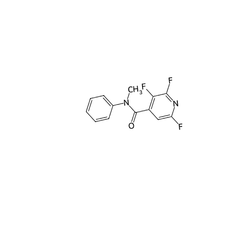 CN(C(=O)c1cc(F)nc(F)c1F)c1ccccc1